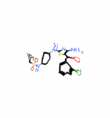 CC(C)CS(=O)(=O)N[C@H]1CC[C@H](Nc2nc(N)c(C(=O)c3ccccc3Cl)s2)CC1